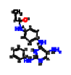 C=CC(=O)Nc1ccc(Nc2nc(Nc3ccccc3)ncc2N)cc1